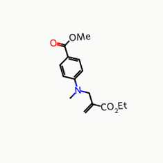 C=C(CN(C)c1ccc(C(=O)OC)cc1)C(=O)OCC